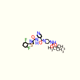 CC(C)(C)OC(=O)NC1CCN(C(=O)c2ccncc2NC(=O)c2csc(-c3c(F)cccc3F)n2)CC1